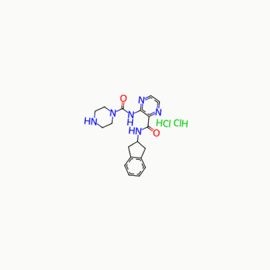 Cl.Cl.O=C(NC1Cc2ccccc2C1)c1nccnc1NC(=O)N1CCNCC1